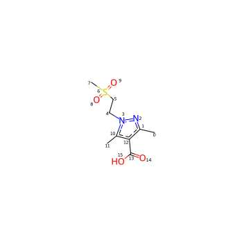 Cc1nn(CCS(C)(=O)=O)c(C)c1C(=O)O